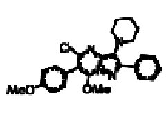 COc1ccc(-c2c(Cl)nc3c(N4CCCCC4)c(-c4ccccc4)nn3c2OC)cc1